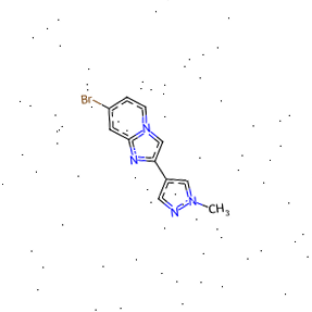 Cn1cc(-c2cn3ccc(Br)cc3n2)cn1